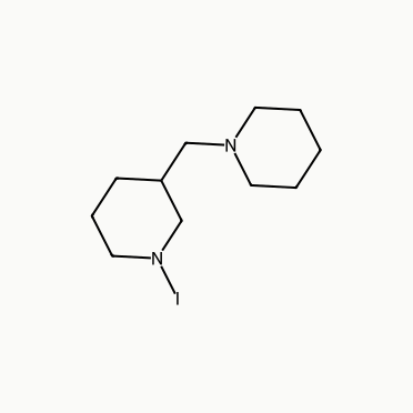 IN1CCCC(CN2CCCCC2)C1